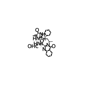 CC1C[C@]2(O[C@](C)(NC=O)c3nc4ccccc4c(=O)n31)c1ccccc1N1C(=O)[C@H](C)N[C@@H]12